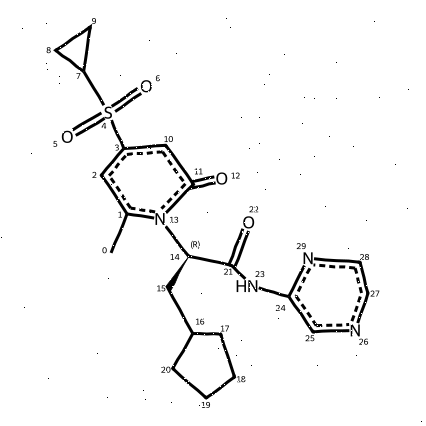 Cc1cc(S(=O)(=O)C2CC2)cc(=O)n1[C@H](CC1CCCC1)C(=O)Nc1cnccn1